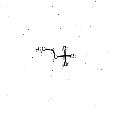 CCOC(Br)(Br)Br